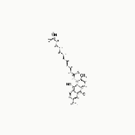 Cc1ccc2c(O)c3c(OC(=O)CCCCCCCCCCC(=O)O)c(C)ccc3c(O)c2c1